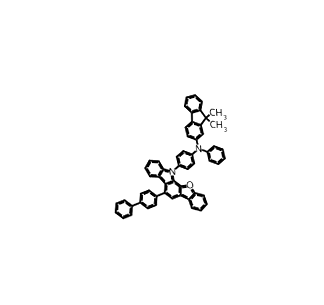 CC1(C)c2ccccc2-c2ccc(N(c3ccccc3)c3ccc(-n4c5ccccc5c5c(-c6ccc(-c7ccccc7)cc6)cc6c7ccccc7oc6c54)cc3)cc21